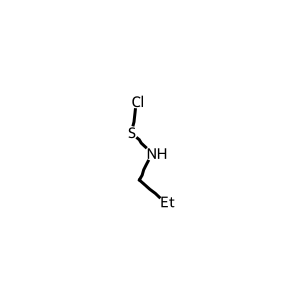 CCCNSCl